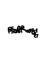 O=C(CCCN1CCC(Nc2ccc(Cl)cc2)CC1)N1CCC[C@H](Nc2ccc(SC(F)(F)F)cc2)C1